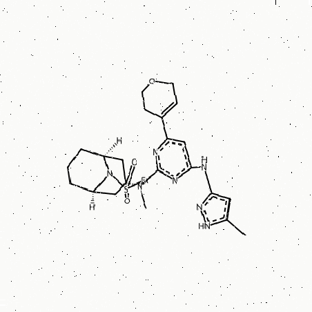 CCS(=O)(=O)N1[C@@H]2CCC[C@H]1C[C@H](N(C)c1nc(Nc3cc(C)[nH]n3)cc(C3=CCOCC3)n1)C2